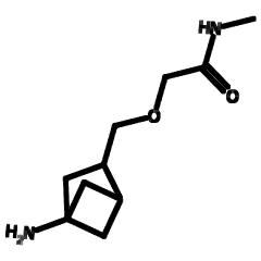 CNC(=O)COCC1CC2(N)CC1C2